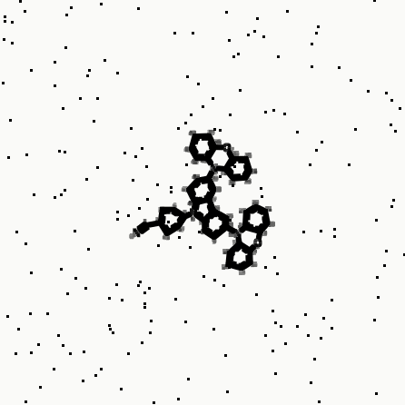 N#Cc1ccc(-n2c3ccc(N4c5ccccc5Oc5ccccc54)cc3c3cc(N4c5ccccc5Oc5ccccc54)ccc32)cc1